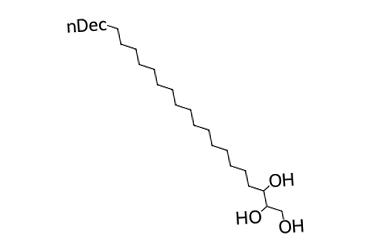 CCCCCCCCCCCCCCCCCCCCCCCCCCC(O)C(O)CO